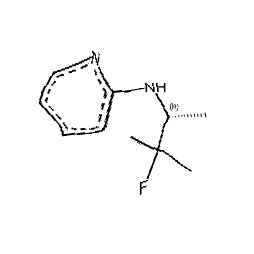 C[C@@H](Nc1ccccn1)C(C)(C)F